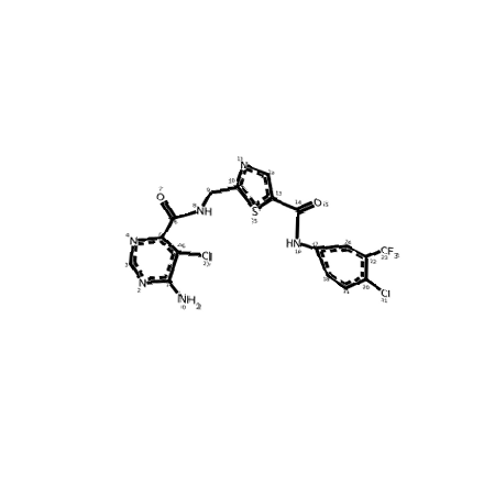 Nc1ncnc(C(=O)NCc2ncc(C(=O)Nc3ccc(Cl)c(C(F)(F)F)c3)s2)c1Cl